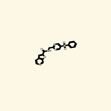 O=C(NCc1ncc(S(=O)(=O)c2ccccc2)cn1)c1cc2ccncc2o1